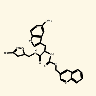 COc1ccc2[nH]cc(CC(NC(=O)OCc3cnc4ccccc4c3)C(=O)NCC3CC(Br)=NO3)c2c1